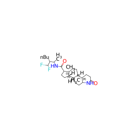 CCCCC(C(F)F)C(C)NC(=O)C1CC[C@H]2[C@@H]3CCC4NC(=O)CC[C@]4(C)[C@@H]3CC[C@]12C